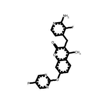 Cc1c(Cc2ccnc(N)c2F)c(=O)oc2cc(Oc3ncc(F)cn3)ccc12